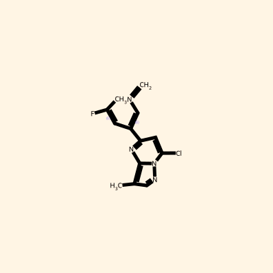 C=N/C=C(\C=C(/C)F)c1cc(Cl)n2ncc(C)c2n1